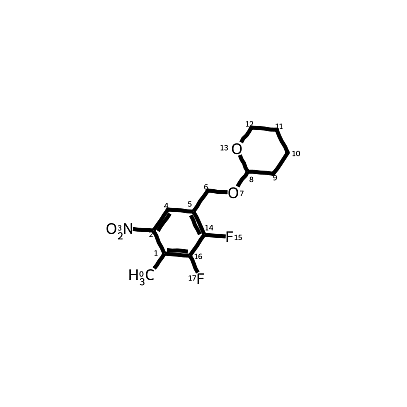 Cc1c([N+](=O)[O-])cc(COC2CCCCO2)c(F)c1F